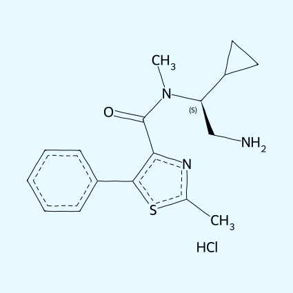 Cc1nc(C(=O)N(C)[C@H](CN)C2CC2)c(-c2ccccc2)s1.Cl